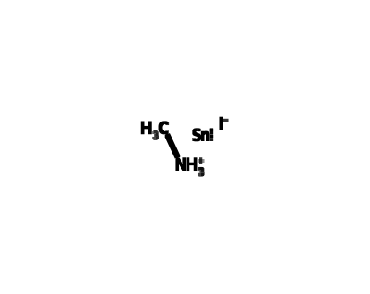 C[NH3+].[I-].[Sn]